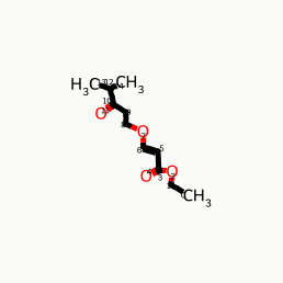 CCOC(=O)C=COCCC(=O)C(C)C